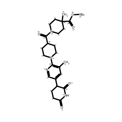 Cc1cc(C2CCC(=O)NC2=O)cnc1N1CCC(C(=O)N2CCC(C)(C(=O)OC(C)(C)C)CC2)CC1